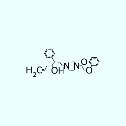 C=CCC(O)C(CCN1CCN(C2COc3ccccc3O2)CC1)c1ccccc1